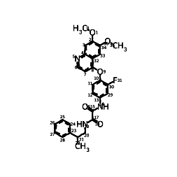 COc1cc2nccc(Oc3ccc(NC(=O)C(=O)NCC(C)c4ccccc4)cc3F)c2cc1OC